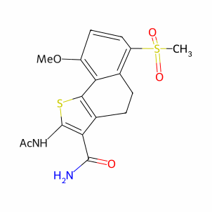 COc1ccc(S(C)(=O)=O)c2c1-c1sc(NC(C)=O)c(C(N)=O)c1CC2